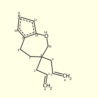 C=CCC1(CC=C)CCc2cscc2OC1